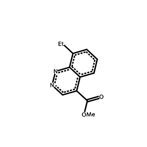 CCc1cccc2c(C(=O)OC)cnnc12